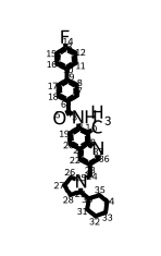 Cc1c(NC(=O)c2ccc(-c3ccc(F)cc3)cc2)ccc2cc(CN3CCCC3C3CCCCC3)cnc12